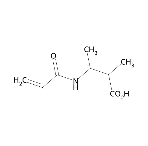 C=CC(=O)NC(C)C(C)C(=O)O